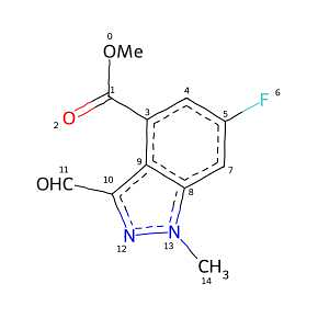 COC(=O)c1cc(F)cc2c1c(C=O)nn2C